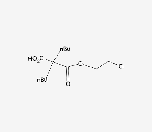 CCCCC(CCCC)(C(=O)O)C(=O)OCCCl